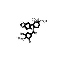 CCCCOc1c(Br)cc(C(=O)n2c3c(c4cc5c(cc42)OCO5)CC(C(=O)O)(C(=O)O)CC3)cc1Br